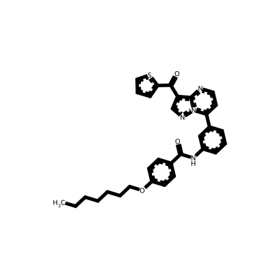 CCCCCCCOc1ccc(C(=O)Nc2cccc(-c3ccnc4c(C(=O)c5cccs5)cnn34)c2)cc1